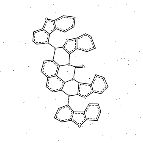 O=C1N2c3c(sc4ccccc34)B(c3cccc4oc5ccccc5c34)c3ccc4ccc5c(c4c32)N1c1c(sc2ccccc12)B5c1cccc2oc3ccccc3c12